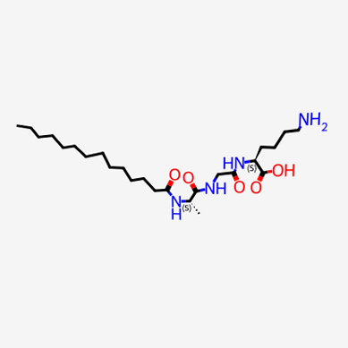 CCCCCCCCCCCCCC(=O)N[C@@H](C)C(=O)NCC(=O)N[C@@H](CCCCN)C(=O)O